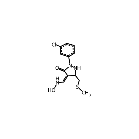 CSCC1NN(c2cccc(Cl)c2)C(=O)C1=CNO